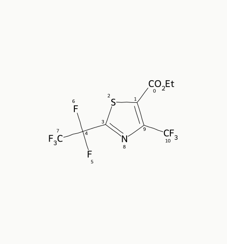 CCOC(=O)c1sc(C(F)(F)C(F)(F)F)nc1C(F)(F)F